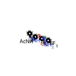 CC(=O)NC1Nc2cc(Oc3ccc(N(C(N)=O)c4cc(C(F)(F)F)ccc4F)nc3)ccc2N1Cc1ccccc1